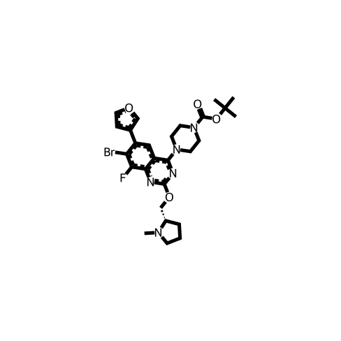 CN1CCC[C@H]1COc1nc(N2CCN(C(=O)OC(C)(C)C)CC2)c2cc(-c3ccoc3)c(Br)c(F)c2n1